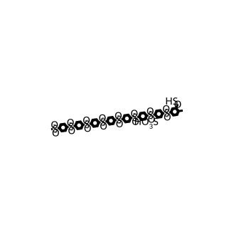 Cc1ccc(S(=O)(=O)c2ccc(S(=O)(=O)c3ccc(S(=O)(=O)c4ccc(S(=O)(=O)c5ccc(S(=O)(=O)c6ccc(S(=O)(=O)c7ccc(S(=O)(=O)c8ccc(S(C)(=O)=O)cc8)cc7)cc6)cc5)cc4)cc3)c(S(=O)(=O)O)c2)cc1OS